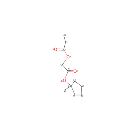 CCC(=O)OCC(=O)OC1(C)CCCC1